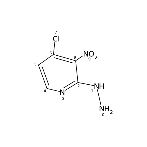 NNc1nccc(Cl)c1[N+](=O)[O-]